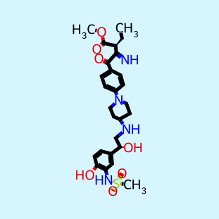 CC[C@@H](C(=N)C(=O)c1ccc(N2CCC(NC[C@H](O)c3ccc(O)c(NS(C)(=O)=O)c3)CC2)cc1)C(=O)OC